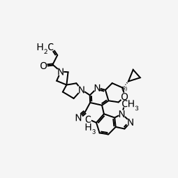 C=CC(=O)N1CC2(CCN(c3nc4c(c(-c5c(C)ccc6cnn(C)c56)c3C#N)CO[C@@H](C3CC3)C4)C2)C1